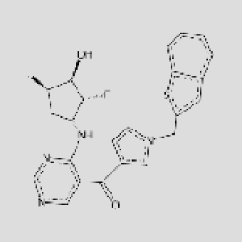 [CH2][C@@H]1C[C@@H](Nc2ncncc2C(=O)c2ccn(Cc3cc4ccccc4s3)c2)[C@@H](F)[C@@H]1O